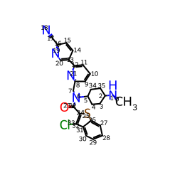 CNC1CCC(N(Cc2cccc(-c3ccc(C#N)nc3)n2)C(=O)c2sc3ccccc3c2Cl)CC1